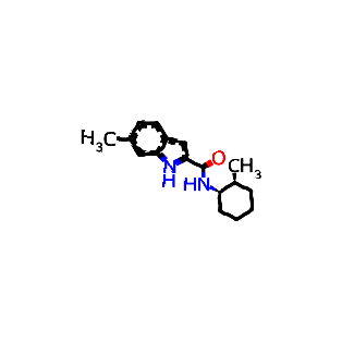 Cc1ccc2cc(C(=O)N[C@@H]3CCCC[C@@H]3C)[nH]c2c1